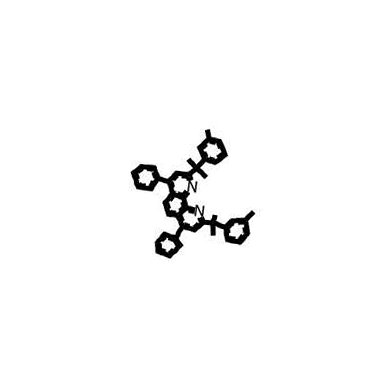 Cc1cccc(C(C)(C)c2cc(-c3ccccc3)c3ccc4c(-c5ccccc5)cc(C(C)(C)c5cccc(C)c5)nc4c3n2)c1